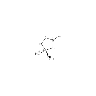 CN1CC[C@@](N)(O)C1